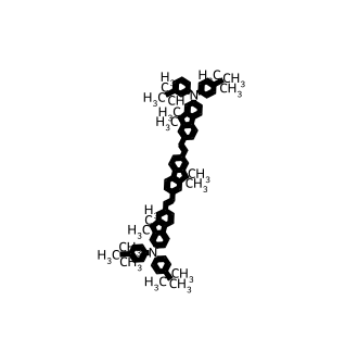 CC(C)(C)c1ccc(N(c2ccc(C(C)(C)C)cc2)c2ccc3c(c2)C(C)(C)c2cc(/C=C/c4ccc5c(c4)C(C)(C)c4cc(/C=C/c6ccc7c(c6)C(C)(C)c6cc(N(c8ccc(C(C)(C)C)cc8)c8cccc(C(C)(C)C)c8)ccc6-7)ccc4-5)ccc2-3)cc1